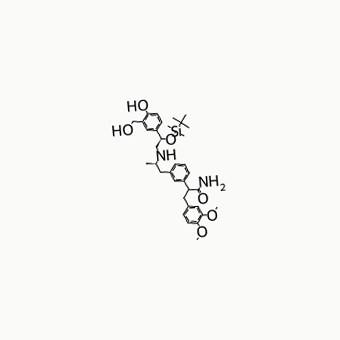 COc1ccc(CC(C(N)=O)c2cccc(C[C@@H](C)NC[C@H](O[Si](C)(C)C(C)(C)C)c3ccc(O)c(CO)c3)c2)cc1OC